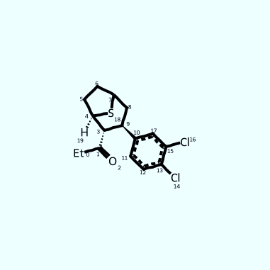 CCC(=O)[C@@H]1[C@H]2CCC(C[C@H]1c1ccc(Cl)c(Cl)c1)S2